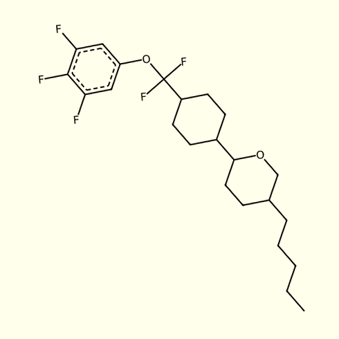 CCCCCC1CCC(C2CCC(C(F)(F)Oc3cc(F)c(F)c(F)c3)CC2)OC1